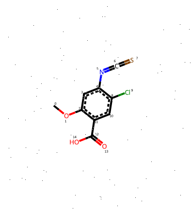 COc1cc(N=C=S)c(Cl)cc1C(=O)O